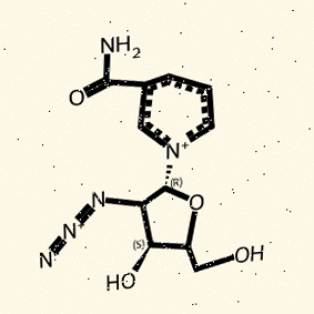 [N-]=[N+]=NC1[C@H](O)C(CO)O[C@H]1[n+]1cccc(C(N)=O)c1